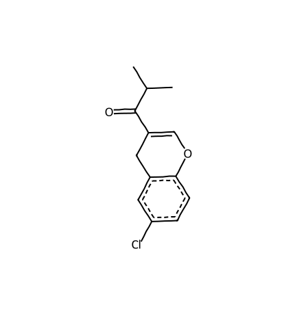 CC(C)C(=O)C1=COc2ccc(Cl)cc2C1